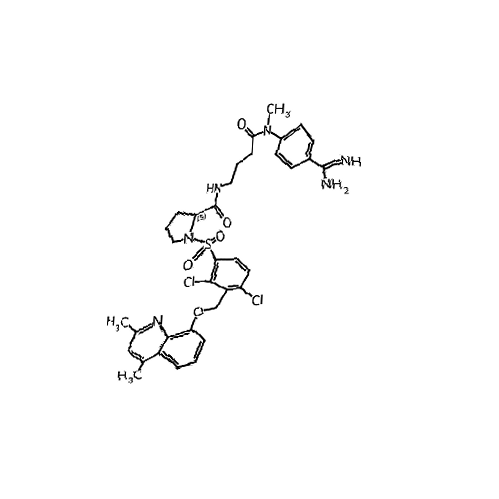 Cc1cc(C)c2cccc(OCc3c(Cl)ccc(S(=O)(=O)N4CCC[C@H]4C(=O)NCCCC(=O)N(C)c4ccc(C(=N)N)cc4)c3Cl)c2n1